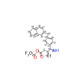 CC[C@@H](CC(=O)OC(=O)C(F)(F)F)C(=N)c1ccc(Cc2ccc3ccccc3c2)cc1